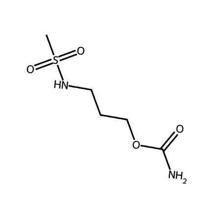 CS(=O)(=O)NCCCOC(N)=O